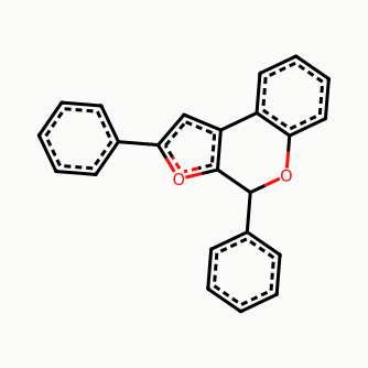 c1ccc(-c2cc3c(o2)C(c2ccccc2)Oc2ccccc2-3)cc1